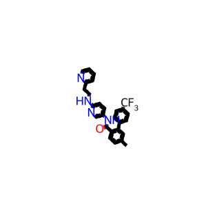 Cc1ccc(C(=O)Nc2ccc(NCCc3ccccn3)nc2)c(-c2ccc(C(F)(F)F)cc2)c1